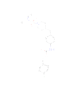 CN(C)S(=O)(=O)N1CCC(Cc2ccc(NC(=O)OCc3ccc(Cl)cc3)cc2)CC1